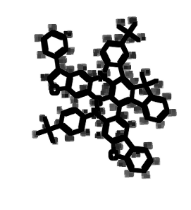 CC(C)(C)c1ccc(N2B3c4cc5occ(-c6ccccc6)c5cc4-n4c5ccc(C(C)(C)C)cc5c5c6c(c(c3c54)-c3cc4c(cc32)oc2ccccc24)-c2ccccc2C6(C)C)cc1